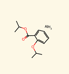 CC(C)OC(=O)c1ccccc1OC(C)C.[AlH3]